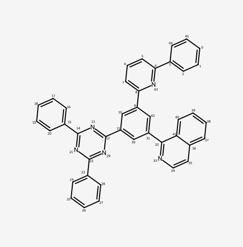 c1ccc(-c2cccc(-c3cc(-c4nc(-c5ccccc5)nc(-c5ccccc5)n4)cc(-c4nccc5ccccc45)c3)n2)cc1